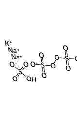 O=S(=O)([O-])O.O=S(=O)([O-])OOS(=O)(=O)[O-].[K+].[Na+].[Na+]